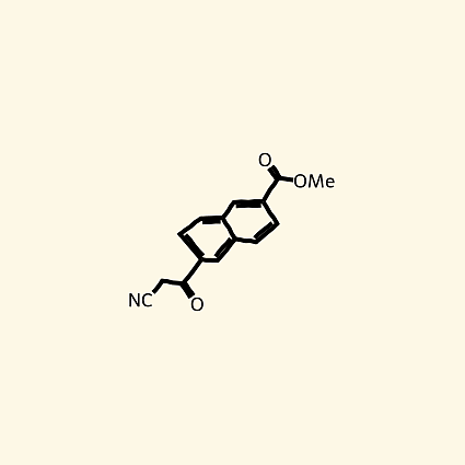 COC(=O)c1ccc2cc(C(=O)CC#N)ccc2c1